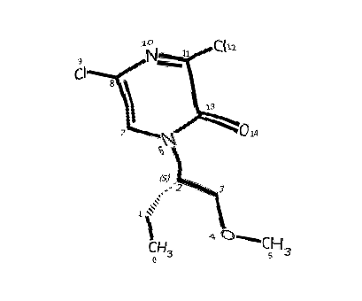 CC[C@@H](COC)n1cc(Cl)nc(Cl)c1=O